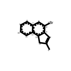 CC1=Cc2c(Br)cc3ccccc3c2C1